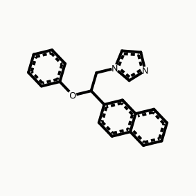 c1ccc(OC(Cn2ccnc2)c2ccc3ccccc3c2)cc1